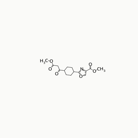 COC(=O)CC(=O)C1CCC(c2nc(C(=O)OC)co2)CC1